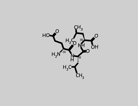 CC(C)C[C@H](NC(=O)[C@H](CC(C)C)NC(=O)[C@@H](N)CCC(=O)O)C(=O)O